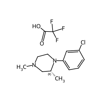 C[C@@H]1CN(C)CCN1c1cccc(Cl)c1.O=C(O)C(F)(F)F